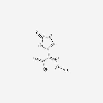 CON=C(C(=O)O)c1csc(=O)[nH]1